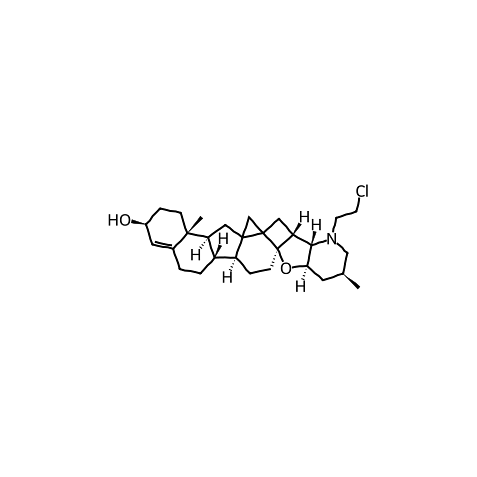 C[C@H]1C[C@H]2O[C@@]34CC[C@H]5[C@@H]6CCC7=C[C@@H](O)CC[C@]7(C)[C@H]6CC56CC63C[C@@H]4[C@@H]2N(CCCl)C1